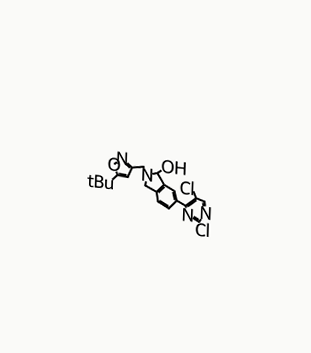 CC(C)(C)c1cc(CN2Cc3ccc(-c4nc(Cl)ncc4Cl)cc3C2O)no1